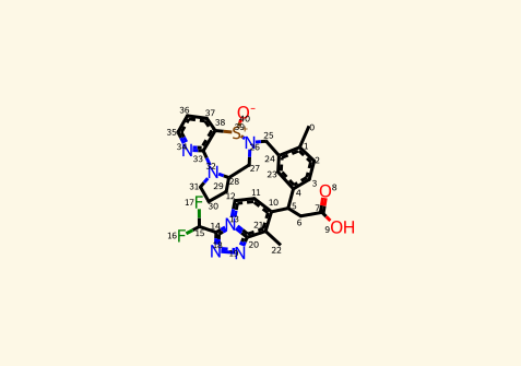 Cc1ccc(C(CC(=O)O)c2ccn3c(C(F)F)nnc3c2C)cc1CN1CC2CCCN2c2ncccc2[S+]1[O-]